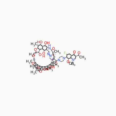 COc1c(N2CCN(C(=O)C3CCN(/N=C/c4c5c(O)c6c(O)c(C)c7c(c6c4O)C(=O)[C@@](C)(O/C=C/[C@H](OC)[C@@H](C)[C@@H](OC(C)=O)[C@H](C)[C@H](O)[C@H](C)[C@@H](O)[C@@H](C)/C=C/C=C(/C)C(=O)N5)O7)CC3)CC2)c(F)cc2c(=O)c(C(C)=O)cn(C3CC3)c12